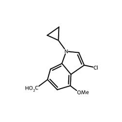 COc1cc(C(=O)O)cc2c1c(Cl)cn2C1CC1